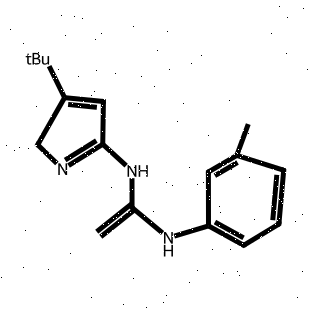 C=C(NC1=NCC(C(C)(C)C)=C1)Nc1cccc(C)c1